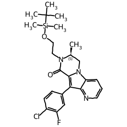 C[C@H]1Cn2c(c(-c3ccc(Cl)c(F)c3)c3ncccc32)C(=O)N1CCO[Si](C)(C)C(C)(C)C